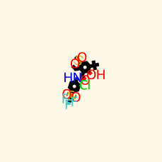 CCc1c(S(C)(=O)=O)cc(C(C)(C)C)c(O)c1C(=O)Nc1ccc(S(=O)(=O)C(F)(F)F)cc1Cl